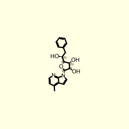 Cc1ccnc2c1ccn2[C@@H]1O[C@H]([C@@H](O)Cc2ccccc2)[C@@H](O)[C@H]1O